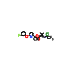 CC1(C)[C@H](C(=O)OC(C#N)c2cccc(Oc3cccc(F)c3)n2)[C@@H]1/C=C(\Cl)C(F)(F)F